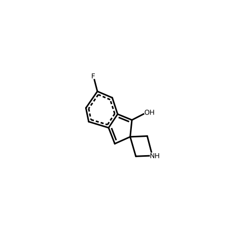 OC1=c2cc(F)ccc2=CC12CNC2